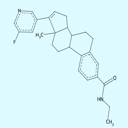 CCNC(=O)c1ccc2c(c1)CCC1C2CCC2(C)C(c3cncc(F)c3)=CCC12